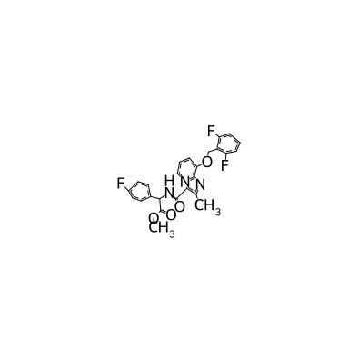 COC(=O)C(NC(=O)c1c(C)nc2c(OCc3c(F)cccc3F)cccn12)c1ccc(F)cc1